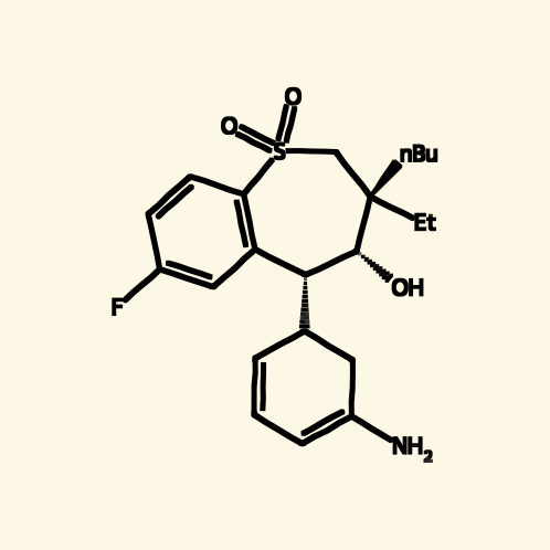 CCCC[C@]1(CC)CS(=O)(=O)c2ccc(F)cc2[C@@H](C2C=CC=C(N)C2)[C@H]1O